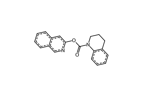 O=C(Oc1cc2ccccc2cn1)N1CCCc2ccccc21